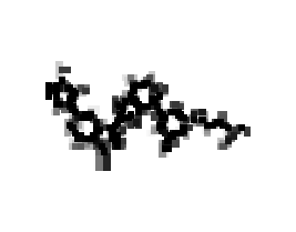 CN(C)CCOc1cc(F)cc(-c2nccc3[nH]c(-c4n[nH]c5cnc(-c6cn[nH]c6)cc45)nc23)c1